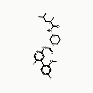 COc1cc(F)ccc1-c1cc(NC(=O)[C@H]2CCC[C@@H](NC(=O)[C@H](C)CC(C)C)C2)ncc1F